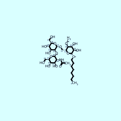 CCCCCCCCO[C@@H]1O[C@H](CO[C@H]2O[C@H](CO)[C@@H](O)[C@H](O)[C@@H]2O[C@@H]2O[C@H](CO)[C@@H](O)[C@H](O)[C@H]2NC(C)=O)[C@@H](OC)[C@H](O)[C@H]1O